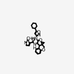 Cn1nccc1C(=O)N[C@H](C(=O)Nc1cc(C2CCCCC2)on1)C1c2ccccc2OCC12CC2